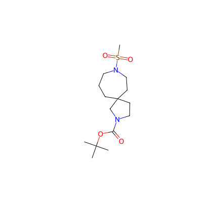 CC(C)(C)OC(=O)N1CCC2(CCCN(S(C)(=O)=O)CC2)C1